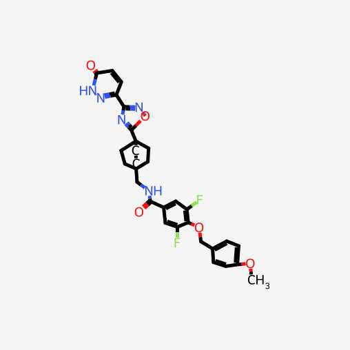 COc1ccc(COc2c(F)cc(C(=O)NCC34CCC(c5nc(-c6ccc(=O)[nH]n6)no5)(CC3)CC4)cc2F)cc1